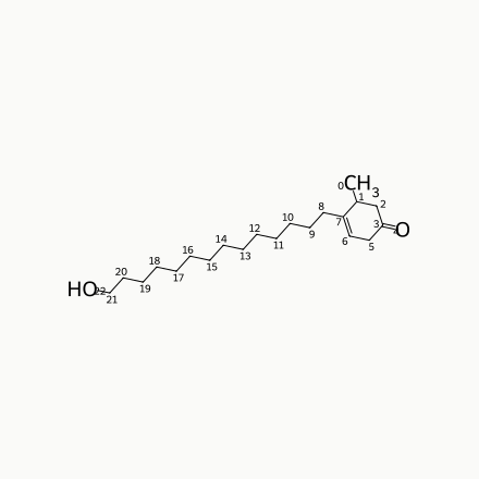 CC1CC(=O)CC=C1CCCCCCCCCCCCCCO